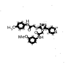 COc1cccc(NC(=O)Cn2c(SCC(=O)Nc3ccc(C)cc3)nnc2-c2ccncc2)c1